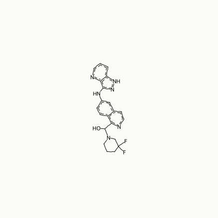 OC(c1nccc2cc(Nc3n[nH]c4cccnc34)ccc12)N1CCCC(F)(F)C1